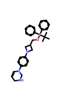 CC(C)(C)[Si](OCC1CN(c2ccc(N3C=CCNC3)cc2)C1)(c1ccccc1)c1ccccc1